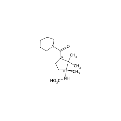 CC1(C)[C@@H](C(=O)N2CCCCC2)CC[C@@]1(C)NC(=O)O